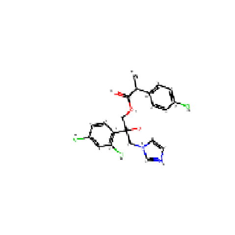 CC(C)C(C(=O)OCC(O)(Cn1ccnc1)c1ccc(Cl)cc1Cl)c1ccc(Cl)cc1